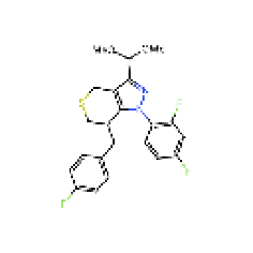 COC(OC)c1nn(-c2ccc(F)cc2F)c2c1CSCC2Cc1ccc(F)cc1